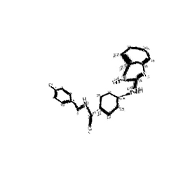 O=C(NCc1ccc(F)cc1)[C@H]1CC[C@H](Nc2nc3ccccc3[nH]2)CC1